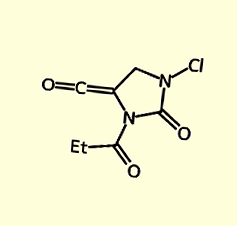 CCC(=O)N1C(=O)N(Cl)CC1=C=O